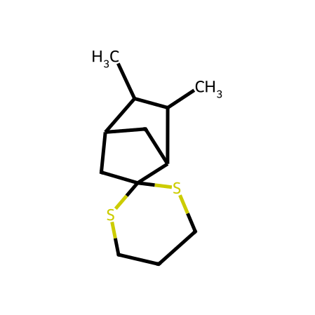 CC1C2CC(C1C)C1(C2)SCCCS1